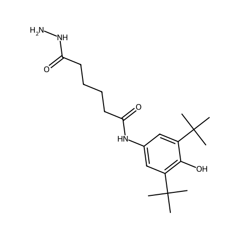 CC(C)(C)c1cc(NC(=O)CCCCC(=O)NN)cc(C(C)(C)C)c1O